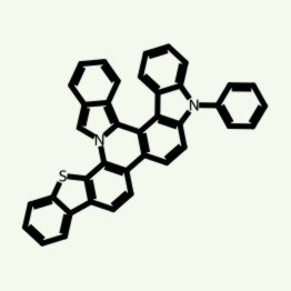 c1ccc(-n2c3ccccc3c3c4c(ccc32)c2ccc3c5ccccc5sc3c2n2cc3ccccc3c42)cc1